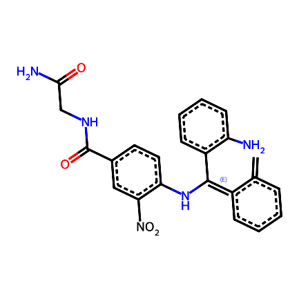 C=c1cccc/c1=C(\Nc1ccc(C(=O)NCC(N)=O)cc1[N+](=O)[O-])c1ccccc1N